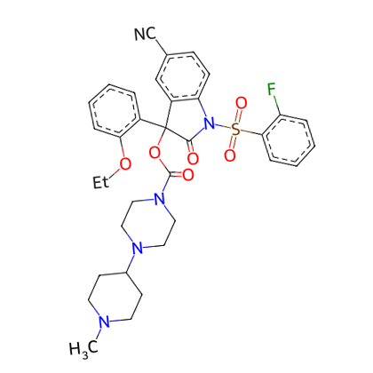 CCOc1ccccc1C1(OC(=O)N2CCN(C3CCN(C)CC3)CC2)C(=O)N(S(=O)(=O)c2ccccc2F)c2ccc(C#N)cc21